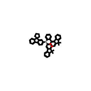 CC1(C)c2ccccc2-c2cc(N(c3ccc4c(c3)C3(CCCC3)c3ccccc3-4)c3ccccc3-c3cccc4c3-c3ccccc3C4(C)C)ccc21